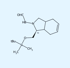 CC(C)(C)[Si](C)(C)OC[C@@H]1C2CC=CCC2CN1BC=O